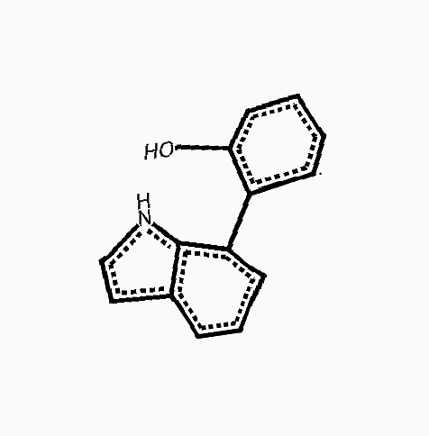 Oc1ccc[c]c1-c1cccc2cc[nH]c12